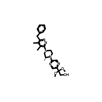 COC(CO)(OC)c1cnc(N2CCN(c3nnc(Cc4ccccc4)c(C)c3C)C[C@H]2C)cn1